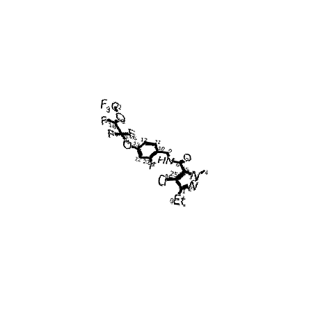 CCc1nn(C)c(C(=O)NCc2ccc(OC(F)(F)C(F)OC(F)(F)F)cc2F)c1Cl